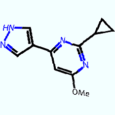 COc1cc(-c2cn[nH]c2)nc(C2CC2)n1